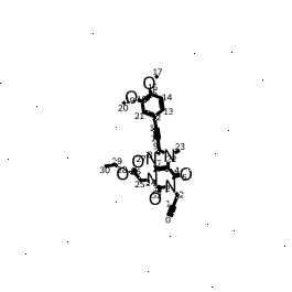 C#CCn1c(=O)c2c(nc(C#Cc3ccc(OC)c(OC)c3)n2C)n(CC(=O)OCC)c1=O